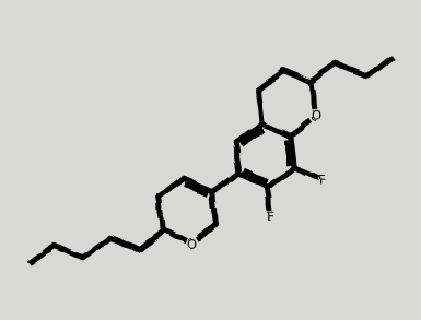 CCCCCC1CC=C(c2cc3c(c(F)c2F)OC(CCC)CC3)CO1